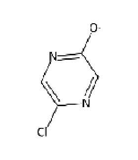 [O]c1cnc(Cl)cn1